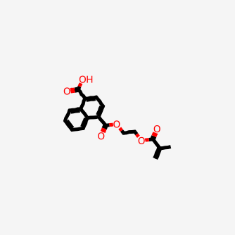 C=C(C)C(=O)OCCOC(=O)c1ccc(C(=O)O)c2ccccc12